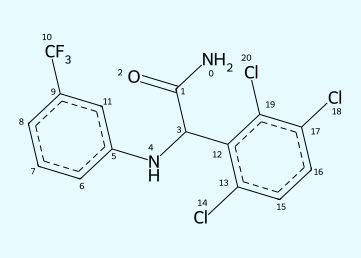 NC(=O)C(Nc1cccc(C(F)(F)F)c1)c1c(Cl)ccc(Cl)c1Cl